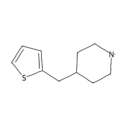 c1csc(CC2CC[N]CC2)c1